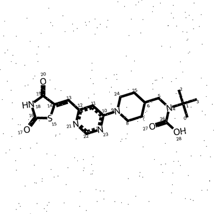 CC(C)(C)N(CC1CCN(c2cc(/C=C3\SC(=O)NC3=O)ncn2)CC1)C(=O)O